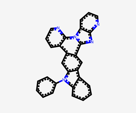 c1ccc(-n2c3ccccc3c3cc4c(cc32)c2cccnc2n2c3cccnc3nc42)cc1